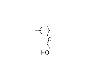 Cc1c#ccc(OCCO)c1